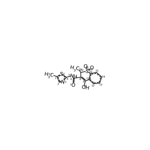 Cc1cnc(NC(=O)C2=C(O)c3ccccc3S(=O)(=O)C2C)s1